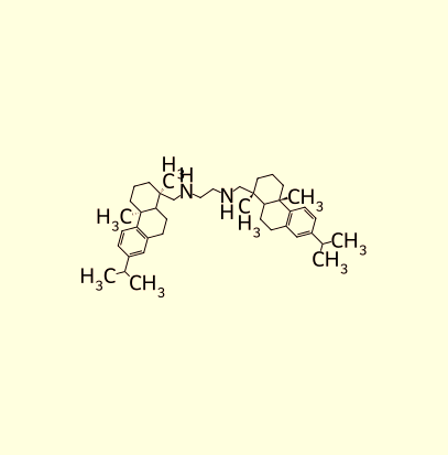 CC(C)c1ccc2c(c1)CCC1[C@](C)(CNCCNC[C@]3(C)CCC[C@]4(C)c5ccc(C(C)C)cc5CCC34)CCC[C@]21C